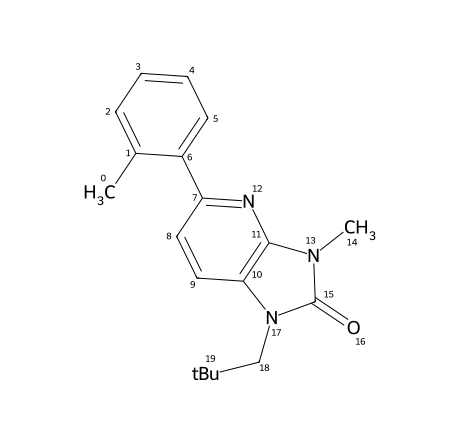 Cc1ccccc1-c1ccc2c(n1)n(C)c(=O)n2CC(C)(C)C